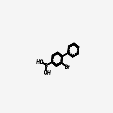 OB(O)c1ccc(-c2ccccc2)c(Br)c1